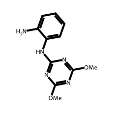 COc1nc(Nc2ccccc2N)nc(OC)n1